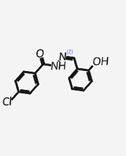 O=C(N/N=C\c1ccccc1O)c1ccc(Cl)cc1